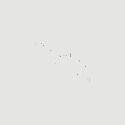 Cc1cc(Cl)ccc1NC(=O)CCN